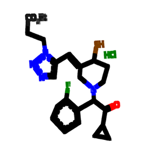 CCOC(=O)CCn1nncc1/C=C1\CN(C(C(=O)C2CC2)c2ccccc2F)CCC1S.Cl